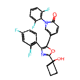 O=c1ccc(-c2oc(C3(O)CCC3)nc2-c2ccc(F)cc2F)cn1-c1c(F)cccc1F